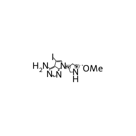 COC[C@H]1C[C@H](n2cc(I)c3c(N)ncnc32)CN1